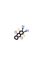 N#Cc1c(C#N)c(=S)c2c(=O)c3ccccc3c(=O)c=2c1=S